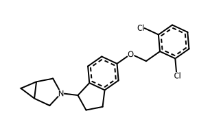 Clc1cccc(Cl)c1COc1ccc2c(c1)CCC2N1CC2CC2C1